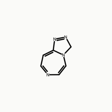 C1=CN2CN=NC2=CC=N1